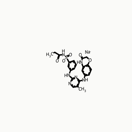 CCC(=O)NS(=O)(=O)c1cccc(Nc2ncc(C)c(Nc3ccc4c(c3)NC(=O)CO4)n2)c1.[Na]